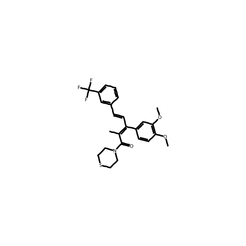 COc1ccc(C(C=Cc2cccc(C(F)(F)F)c2)=C(C)C(=O)N2CCSCC2)cc1OC